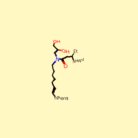 CCCCCC=CCCCCCN(CC(O)CO)C(=O)CC(CC)CCCCCCC